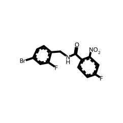 O=C(NCc1ccc(Br)cc1F)c1ccc(F)cc1[N+](=O)[O-]